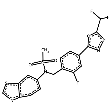 CS(=O)(=O)N(Cc1ccc(-c2nnc(C(F)F)o2)cc1F)c1ccc2ncsc2c1